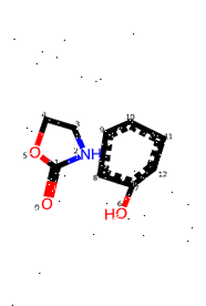 O=C1NCCO1.Oc1ccccc1